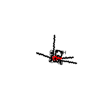 CCCCCCCCCCCCCCCC(Cc1ccccc1-c1c(-c2ccccc2CC(CCCCCCCCCCCCCCC)C(=O)OC)c2c(-c3ccccc3CC(CCCCCCCCCCCCCCC)C(=O)OC)c3nc(cc4ccc(cc5nc(cc1n2-c1ccccc1CC(CCCCCCCCCCCCCCC)C(=O)OC)C=C5)[nH]4)C=C3)C(=O)OC